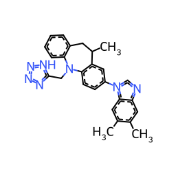 Cc1cc2ncn(-c3ccc4c(c3)C(C)Cc3ccccc3N4Cc3nnn[nH]3)c2cc1C